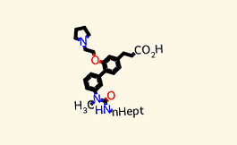 CCCCCCCNC(=O)N(C)c1cccc(-c2ccc(CCC(=O)O)cc2OCCN2CCCC2)c1